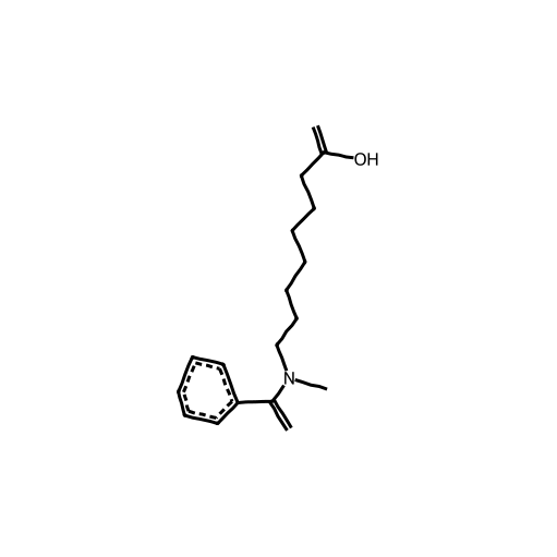 C=C(O)CCCCCCCN(C)C(=C)c1ccccc1